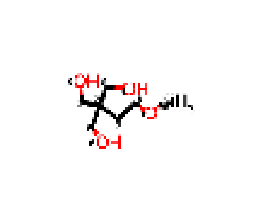 OCC(CO)(CO)CCO[SiH3]